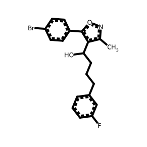 Cc1noc(-c2ccc(Br)cc2)c1C(O)CCCc1cccc(F)c1